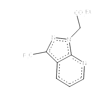 CCOC(=O)Cn1nc(C(F)(F)F)c2cccnc21